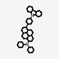 c1ccc(N(c2ccccc2)c2ccc3ccc4c(-c5ccc(-n6c7ccccc7c7ccccc76)cc5)ccc5ccc2c3c54)cc1